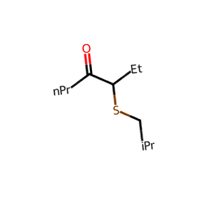 CCCC(=O)C(CC)SCC(C)C